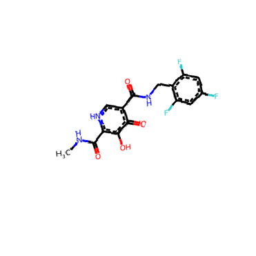 CNC(=O)c1[nH]cc(C(=O)NCc2c(F)cc(F)cc2F)c(=O)c1O